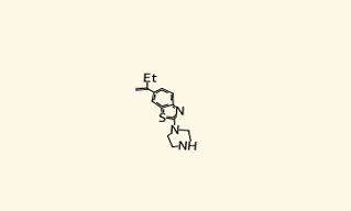 C=C(CC)c1ccc2nc(N3CCNCC3)sc2c1